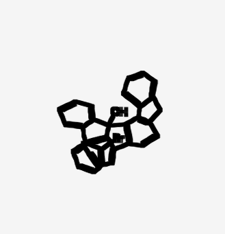 OC1(c2ccccc2-c2ccccc2Br)c2ccccc2-c2ccc3c(c21)-c1ccccc1C3